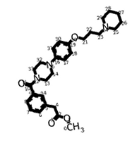 COC(=O)Cc1cccc(C(=O)N2CCN(c3ccc(OCCCN4CCCCC4)cc3)CC2)c1